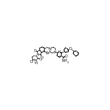 NC(=O)c1ccc(N2CCN(Cc3ccc4c(c3Br)C(=O)N(C3CCC(=O)NC3=O)C4=O)CC2)nc1-c1ccc(Oc2ccccc2)cc1